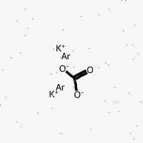 O=C([O-])[O-].[Ar].[Ar].[K+].[K+]